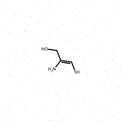 N/C(=C\S)CO